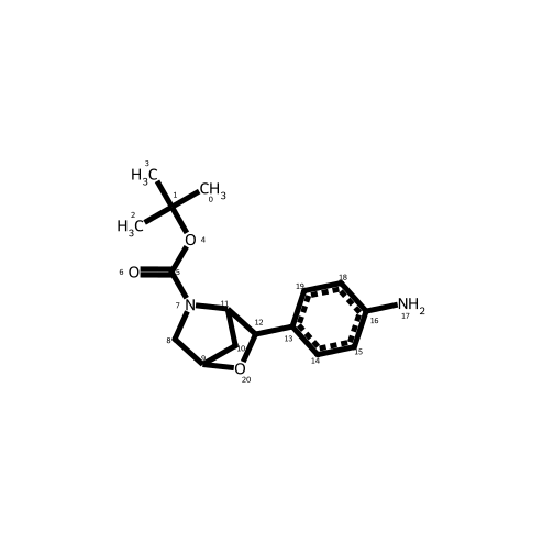 CC(C)(C)OC(=O)N1CC2CC1C(c1ccc(N)cc1)O2